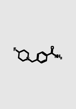 NC(=O)c1ccc(CN2CCC(F)CC2)cc1